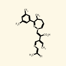 C/C=C(\C=N/C=C(\C)CC)C(=C/N1C=CCC(C)C(c2cc(C(F)(F)F)cc(C(F)(F)F)c2)=N1)/C(=O)O